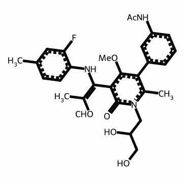 COc1c(-c2cccc(NC(C)=O)c2)c(C)n(CC(O)CO)c(=O)c1/C(Nc1ccc(C)cc1F)=C(/C)C=O